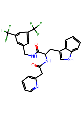 O=C(Cc1ccccn1)NC(Cc1c[nH]c2ccccc12)C(=O)NCc1cc(C(F)(F)F)cc(C(F)(F)F)c1